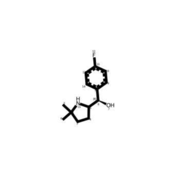 CC1(C)CCC([C@H](O)c2ccc(F)cc2)N1